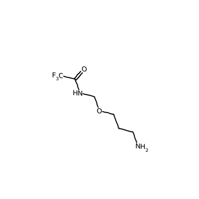 NCCCOCNC(=O)C(F)(F)F